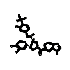 CN(Cc1ccc(C(F)(F)F)c(F)c1)[C@@H]1CN(C(=O)c2ccc3nc[nH]c3c2)C[C@@H]1c1ccc(Cl)c(Cl)c1